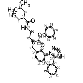 CC(C)CC(CS)C(=O)NCCN(Cc1ccc(-c2ccccc2-c2nnn[nH]2)cc1)C(=O)Oc1ccccc1